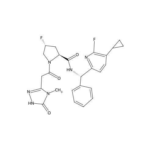 Cn1c(CC(=O)N2C[C@H](F)C[C@H]2C(=O)N[C@@H](c2ccccc2)c2ccc(C3CC3)c(F)n2)n[nH]c1=O